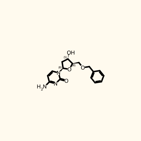 Nc1ccn([C@H]2C[C@H](O)[C@@H](COCc3ccccc3)O2)c(=O)n1